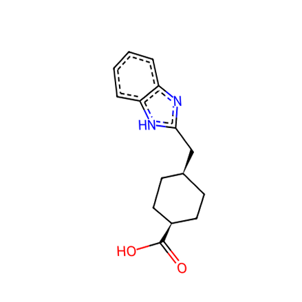 O=C(O)[C@H]1CC[C@@H](Cc2nc3ccccc3[nH]2)CC1